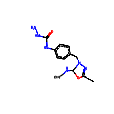 CC1=NN(Cc2ccc(NC(=O)NN)cc2)C(NC=O)O1